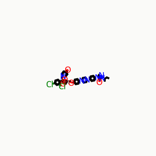 CCC(C)n1ncn(-c2ccc(N3CCN(c4ccc(OC[C@@H]5CO[C@@](Cn6ccc(=O)cc6)(c6ccc(Cl)cc6Cl)O5)cc4)CC3)cc2)c1=O